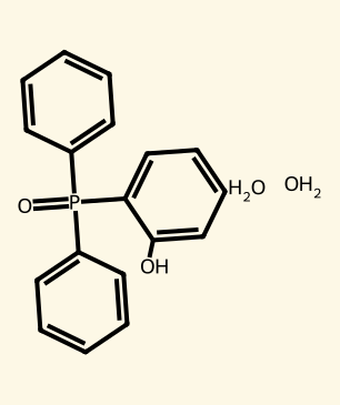 O.O.O=P(c1ccccc1)(c1ccccc1)c1ccccc1O